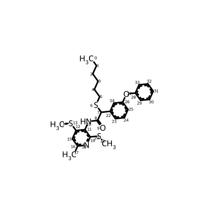 CCCCCCSC(C(=O)Nc1c(SC)cc(C)nc1SC)c1cccc(Oc2ccccc2)c1